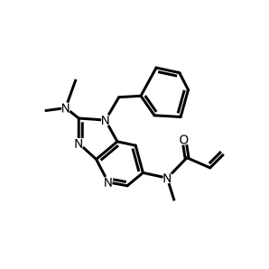 C=CC(=O)N(C)c1cnc2nc(N(C)C)n(Cc3ccccc3)c2c1